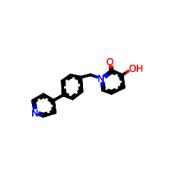 O=c1c(O)cccn1Cc1ccc(-c2ccncc2)cc1